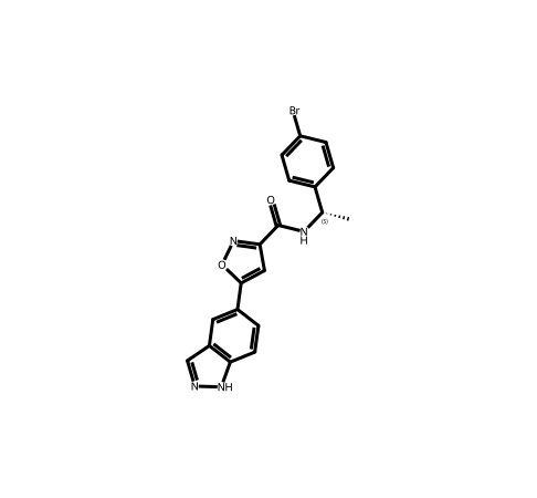 C[C@H](NC(=O)c1cc(-c2ccc3[nH]ncc3c2)on1)c1ccc(Br)cc1